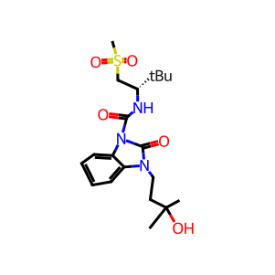 CC(C)(O)CCn1c(=O)n(C(=O)N[C@H](CS(C)(=O)=O)C(C)(C)C)c2ccccc21